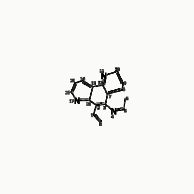 C=Cc1c(/N=C\C)c2cccnc2c2cccnc12